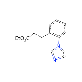 CCOC(=O)CCc1ccccc1-n1ccnc1